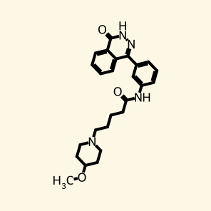 COC1CCN(CCCCC(=O)Nc2cccc(-c3n[nH]c(=O)c4ccccc34)c2)CC1